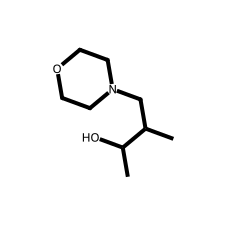 CC(O)C(C)CN1CCOCC1